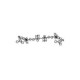 CN(C)C1Cc2c(Cl)cc(Cl)cc2[C@@H]1Oc1ccc(S(=O)(=O)NCCOCCOCCNC(=O)NCCCCNC(=O)NCCOCCOCCNS(=O)(=O)c2ccc(O[C@H]3c4cc(Cl)cc(Cl)c4C[C@@H]3N(C)C)cc2)cc1